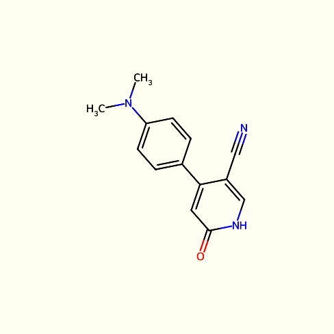 CN(C)c1ccc(-c2cc(=O)[nH]cc2C#N)cc1